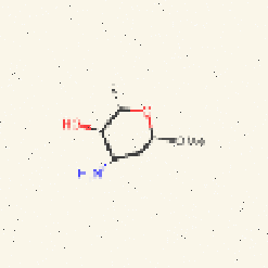 CO[C@H]1C[C@H](N)[C@@H](O)[C@H](C)O1